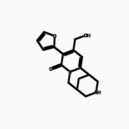 O=c1c(-c2ccco2)c(CO)cc2n1CC1CNCC2C1